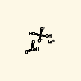 [La+3].[O-][Si]([O-])(O)O.[O]=[GeH][O-]